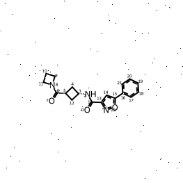 O=C(N[C@H]1C[C@H](C(=O)N2CCC2)C1)c1cc(-c2ccccc2)on1